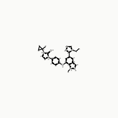 CCn1cnnc1-c1cc(Oc2ccc(-n3ccn(C4(C)CC4)c3=O)cc2)c2c(cnn2C)c1